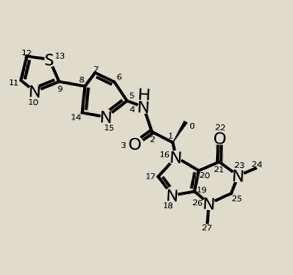 C[C@H](C(=O)Nc1ccc(-c2nccs2)cn1)n1cnc2c1C(=O)N(C)CN2C